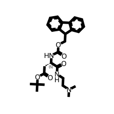 CN(C)CCNC(=O)[C@H](CC(=O)OC(C)(C)C)NC(=O)OCC1c2ccccc2-c2ccccc21